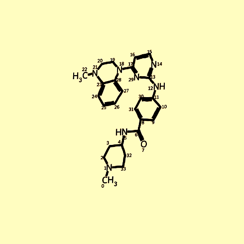 CN1CCC(NC(=O)c2ccc(Nc3nccc(N4CCN(C)c5ccccc54)n3)cc2)CC1